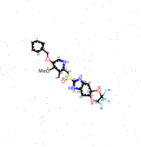 COc1c(OCc2ccccc2)cnc(C[S+]([O-])c2nc3cc4c(cc3[nH]2)OC(F)C(F)(F)O4)c1C